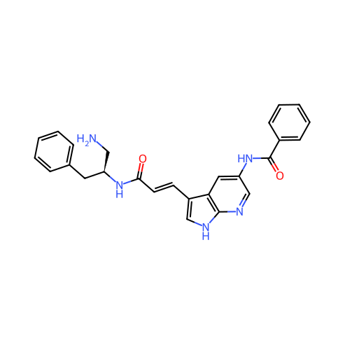 NC[C@H](Cc1ccccc1)NC(=O)/C=C/c1c[nH]c2ncc(NC(=O)c3ccccc3)cc12